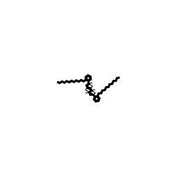 CCCCCCCCCCCCc1ccccc1-c1cc2sc3cc(-c4ccccc4CCCCCCCCCCCC)sc3c2s1